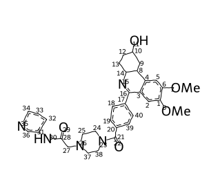 COc1cc2c(cc1OC)C1CC(O)CCC1N=C2c1ccc(C(=O)N2CCN(CC(=O)Nc3cccnc3)CC2)cc1